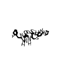 CN1C(=O)[C@@H](NC(=O)c2n[nH]c(Cc3ccccc3F)n2)CSc2cc(N3CCCC3)ncc21